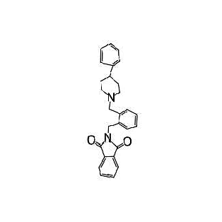 O=C1c2ccccc2C(=O)N1Cc1ccccc1CN1CCC(c2ccccc2)CC1